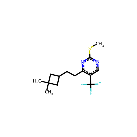 CSc1ncc(C(F)(F)F)c(CCC2CC(C)(C)C2)n1